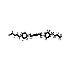 CCCCC[C@H]1CC[C@H](/C=C/C#C/C=C/[C@H]2CC[C@H](OCCCC)CC2)CC1